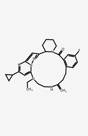 C=C1CCc2ccc(F)cc2C(=O)N2CCCCC2c2cc3nc(C4CC4)cc(n3n2)N(CC)CCN1